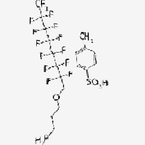 Cc1ccc(S(=O)(=O)O)cc1.FC(F)(F)C(F)(F)C(F)(F)C(F)(F)C(F)(F)C(F)(F)C(F)(F)COCCCP